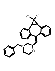 ClC1(Cl)C2c3ccccc3C(=CC3CN(Cc4ccccc4)CCO3)c3ccccc3C21